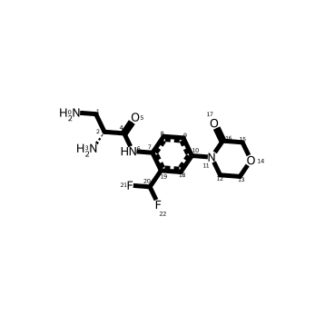 NC[C@@H](N)C(=O)Nc1ccc(N2CCOCC2=O)cc1C(F)F